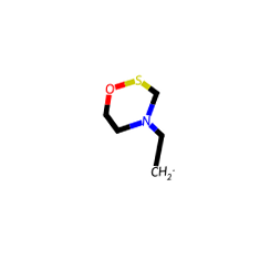 [CH2]CN1CCOSC1